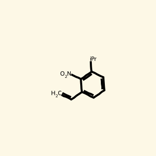 [CH2]C(C)c1cccc(C=C)c1[N+](=O)[O-]